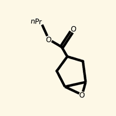 CCCOC(=O)C1CC2OC2C1